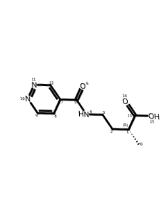 C[C@H](CCNC(=O)c1ccnnc1)C(=O)O